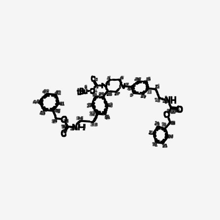 CC(C)(C)OC(=O)N1CCN(c2ccc(CCNC(=O)OCc3ccccc3)cc2)CC1c1ccc(CCNC(=O)OCc2ccccc2)cc1